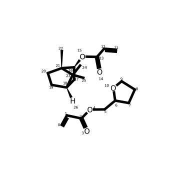 C=CC(=O)OCC1CCCO1.C=CC(=O)O[C@H]1C[C@@H]2CC[C@@]1(C)C2(C)C